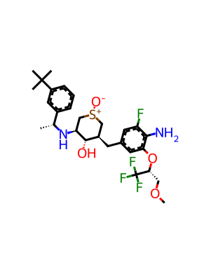 COC[C@@H](Oc1cc(C[C@@H]2C[S@@+]([O-])C[C@H](N[C@H](C)c3cccc(C(C)(C)C)c3)[C@H]2O)cc(F)c1N)C(F)(F)F